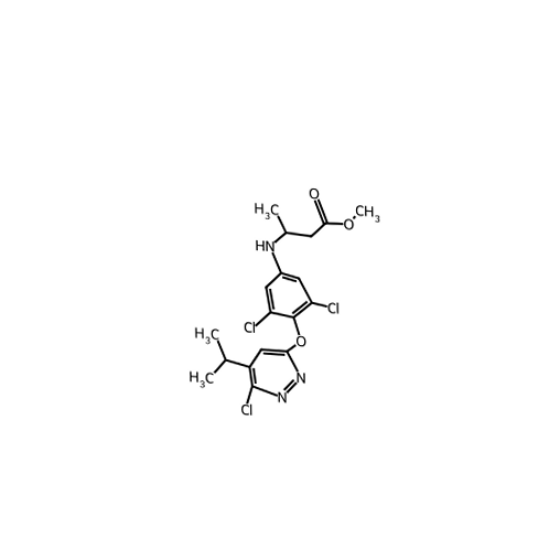 COC(=O)CC(C)Nc1cc(Cl)c(Oc2cc(C(C)C)c(Cl)nn2)c(Cl)c1